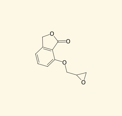 O=C1OCc2cccc(OCC3CO3)c21